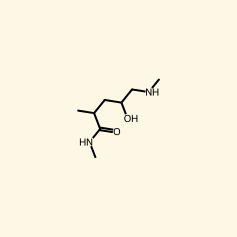 CNCC(O)CC(C)C(=O)NC